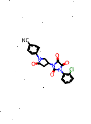 N#Cc1ccc(N2CC(N3C(=O)C(=O)N(c4ccccc4Cl)C3=O)CC2=O)cc1